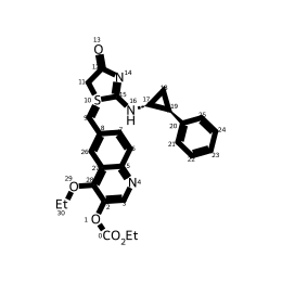 CCOC(=O)Oc1cnc2ccc(/C=S3/CC(=O)N=C3N[C@@H]3C[C@H]3c3ccccc3)cc2c1OCC